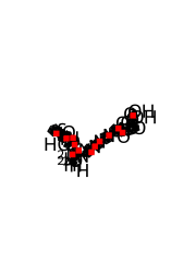 [2H]C([2H])([2H])Oc1ncc(-c2ccnc(N3CCc4c(sc5c4CCCC5)C3=O)c2[C@@H](C)O)cc1Nc1ccc(N2CCN(C3CCN(c4ccc5c(c4)C(=O)N([C@H]4CCC(=O)N(COP(=O)(O)O)C4=O)C5=O)[C@@H](C)C3)C[C@@H]2C)cn1